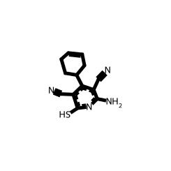 N#Cc1c(N)nc(S)c(C#N)c1C1CC=CCC1